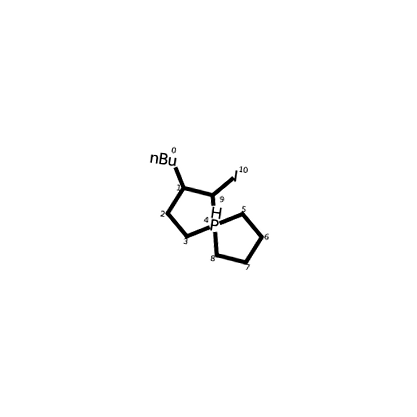 CCCCC1CC[PH]2(CCCC2)C1I